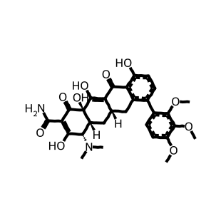 COc1ccc(-c2ccc(O)c3c2C[C@@H]2C[C@@H]4[C@H](N(C)C)C(O)=C(C(N)=O)C(=O)[C@]4(O)C(O)=C2C3=O)c(OC)c1OC